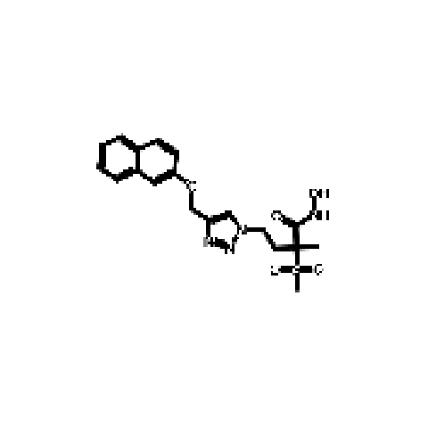 CC(CCn1cc(COc2ccc3ccccc3c2)nn1)(C(=O)NO)S(C)(=O)=O